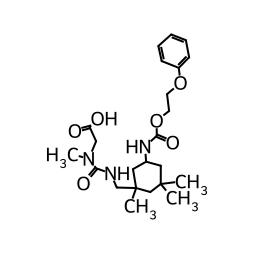 CN(CC(=O)O)C(=O)NCC1(C)CC(NC(=O)OCCOc2ccccc2)CC(C)(C)C1